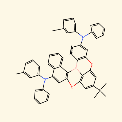 Cc1cccc(N(c2ccccc2)c2cc3c(c4ccccc24)B2c4c(cc([Si](C)(C)C)cc4Oc4cc(N(c5ccccc5)c5cccc(C)c5)c5ccccc5c42)O3)c1